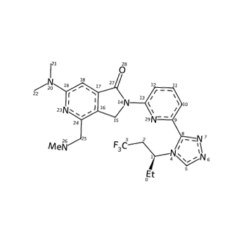 CC[C@@H](CC(F)(F)F)n1cnnc1-c1cccc(N2Cc3c(cc(N(C)C)nc3CNC)C2=O)n1